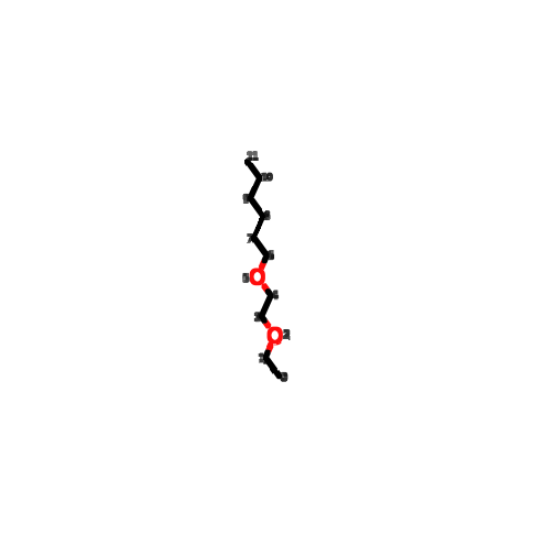 C[CH]OCCOCCCCCC